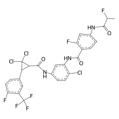 CC(F)C(=O)Nc1ccc(C(=O)Nc2cc(NC(=O)C3C(c4ccc(F)c(C(F)(F)F)c4)C3(Cl)Cl)ccc2Cl)c(F)c1